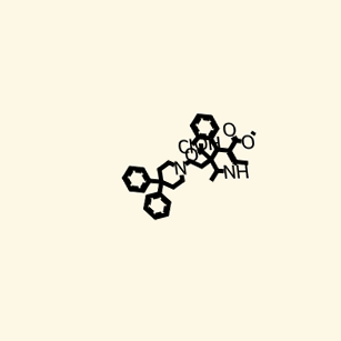 COC(=O)C1=C(C)NC(C)C(CCN2CCC(c3ccccc3)(c3ccccc3)CC2)(C(=O)O)C1c1ccccc1Cl